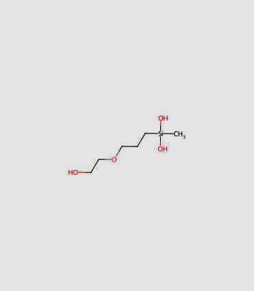 C[Si](O)(O)CCCOCCO